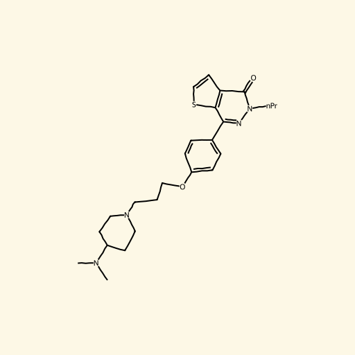 CCCn1nc(-c2ccc(OCCCN3CCC(N(C)C)CC3)cc2)c2sccc2c1=O